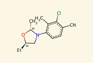 CC[C@@H]1CN(c2ccc(C#N)c(Cl)c2C)[C@@H](C)O1